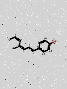 C\C=C/C(C)=C\C=C\c1ccc(Br)cc1